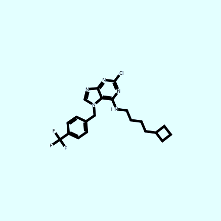 FC(F)(F)c1ccc(Cn2cnc3nc(Cl)nc(NCCCCC4CCC4)c32)cc1